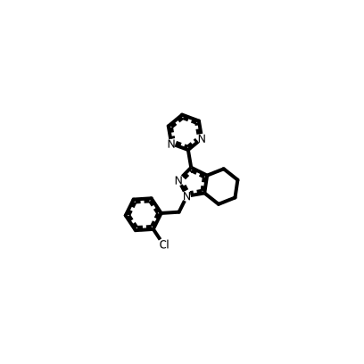 Clc1ccccc1Cn1nc(-c2ncccn2)c2c1CCCC2